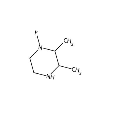 CC1NCCN(F)C1C